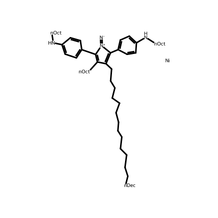 CCCCCCCCCCCCCCCCCCCCCCCC1=C(c2ccc(NCCCCCCCC)cc2)[N+](=[N-])C(c2ccc(NCCCCCCCC)cc2)=C1CCCCCCCC.[Ni]